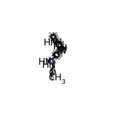 CCOCCN/C=C(\C=N)c1ccc(-n2nnc3cnc(NC4CCCC4)nc32)cc1